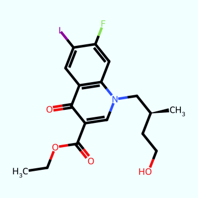 CCOC(=O)c1cn(C[C@@H](C)CCO)c2cc(F)c(I)cc2c1=O